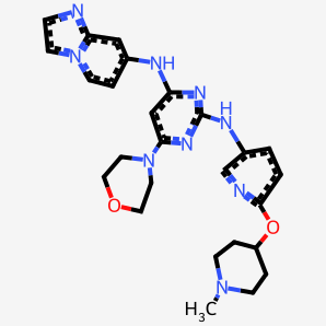 CN1CCC(Oc2ccc(Nc3nc(Nc4ccn5ccnc5c4)cc(N4CCOCC4)n3)cn2)CC1